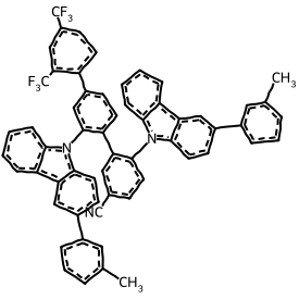 Cc1cccc(-c2ccc3c(c2)c2ccccc2n3-c2ccc(C#N)cc2-c2ccc(-c3ccc(C(F)(F)F)cc3C(F)(F)F)cc2-n2c3ccccc3c3cc(-c4cccc(C)c4)ccc32)c1